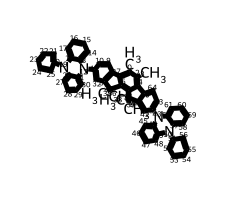 Cc1c(C)c2c(c3c1-c1ccc(N4c5ccccc5N(c5ccccc5)c5ccccc54)cc1C3(C)C)C(C)(C)c1cc(N3c4ccccc4N(c4ccccc4)c4ccccc43)ccc1-2